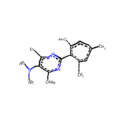 CCCN(CCC)c1c(CC)nc(-c2c(C)cc(C)cc2OC)nc1OC